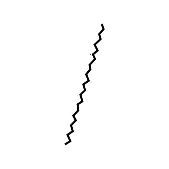 CCCCCC[CH]CCCCCCCCCCCCCCCCCC